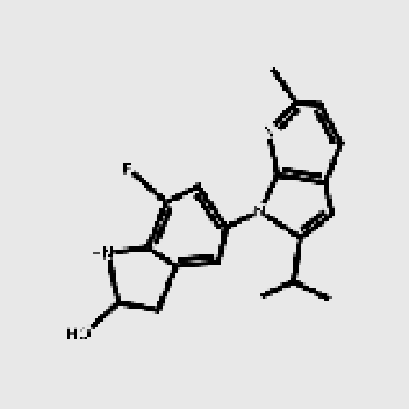 Cc1ccc2cc(C(C)C)n(-c3cc(F)c4c(c3)CC(O)N4)c2n1